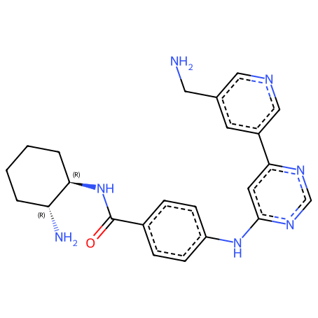 NCc1cncc(-c2cc(Nc3ccc(C(=O)N[C@@H]4CCCC[C@H]4N)cc3)ncn2)c1